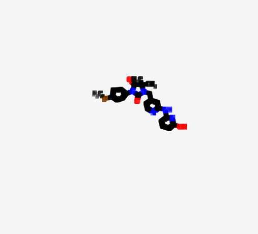 CC1(C)C(=O)N(c2ccc(SC(F)(F)F)cc2)C(=O)N1Cc1ccnc(Nc2cccc(O)n2)c1